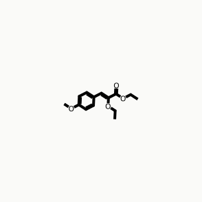 CCOC(=O)C(=Cc1ccc(OC)cc1)OCC